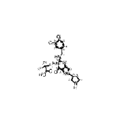 O=C(O)C(F)(F)F.O=c1[nH]c(NCc2ccc(Cl)c(Cl)c2)nc2cn(C3CCNC3)nc12